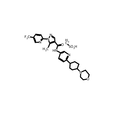 CS(=O)(=O)O.Cc1c(C(=O)Nc2ccc(C3CCC(N4CCOCC4)CC3)nc2)cnn1-c1ccc(C(F)(F)F)cn1